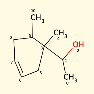 CC(O)C1(C)CC=CCC1C